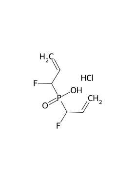 C=CC(F)P(=O)(O)C(F)C=C.Cl